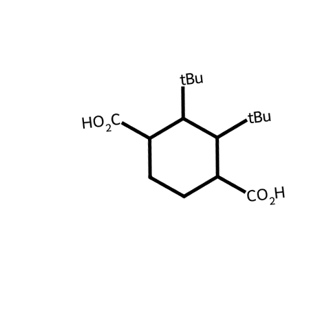 CC(C)(C)C1C(C(=O)O)CCC(C(=O)O)C1C(C)(C)C